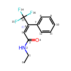 CCNC(=O)/C=C(\c1ccccc1)C(F)(F)F